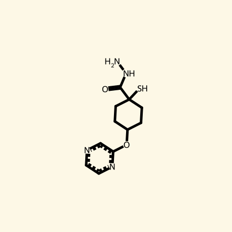 NNC(=O)C1(S)CCC(Oc2cnccn2)CC1